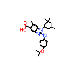 Cc1cc2c(cc1C(=O)O)nc(Nc1ccc(OC(C)C)cc1)n2C1C[C@H](C)CC(C)(C)C1